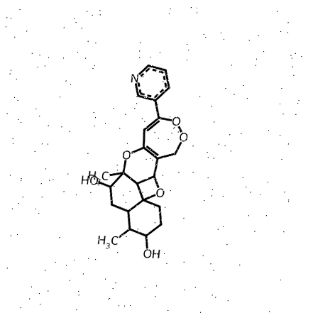 CC1C(O)CCC23OC4C5=C(C=C(c6cccnc6)OOC5)OC(C)(C(O)CC12)C43